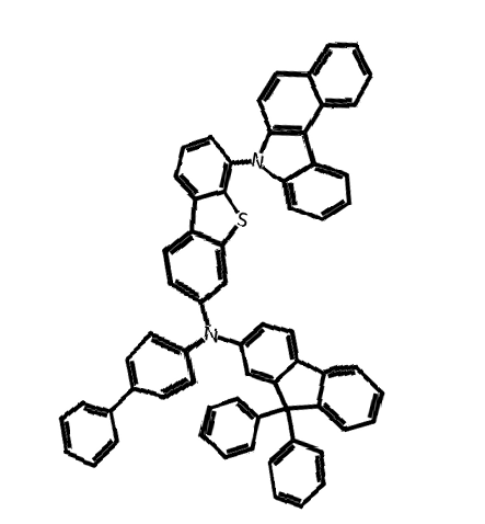 c1ccc(-c2ccc(N(c3ccc4c(c3)C(c3ccccc3)(c3ccccc3)c3ccccc3-4)c3ccc4c(c3)sc3c(-n5c6ccccc6c6c7ccccc7ccc65)cccc34)cc2)cc1